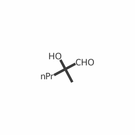 CCCC(C)(O)C=O